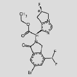 CCOC(=O)[C@@H](c1ncn2c1C[C@@H](F)C2)N1Cc2c(cc(Br)cc2C(F)F)C1=O